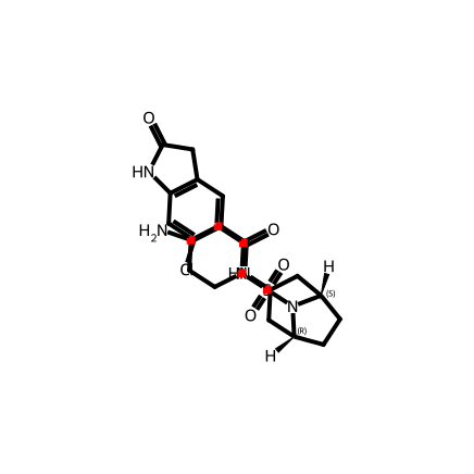 NC1CCN(S(=O)(=O)N2[C@@H]3CC[C@H]2CC(NC(=O)c2cc4c(cc2Cl)NC(=O)C4)C3)CC1